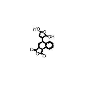 O=C1OC(=O)C2c3ccccc3C(C3CC(O)OC3O)CC12